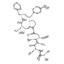 CC[C@H](C)[C@@H]([C@@H](CC(=O)N1CCC[C@H]1[C@H](OC)[C@@H](C)C(=O)N[C@H](/C=C/c1ccc(S(=O)(=O)O)cc1)Cc1ccccc1)OC)N(C)C(=O)[C@@H](NC(=O)[C@@H](NC)C(C)C)C(C)C